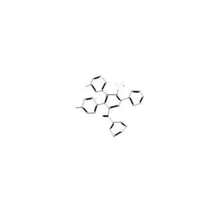 O=C(c1ccccc1)c1cc(-c2ccccc2)c([N+](=O)[O-])c(-c2cccc(O)c2)c1-c1ccc(O)cc1